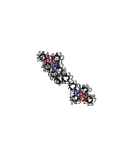 C[Si]1(C)c2cc(-c3ccc(N(c4ccccc4)c4cccc5c4oc4ccccc45)cc3)ccc2-c2ccc(N(c3ccccc3)c3cccc4c3oc3ccccc34)c3cccc1c23